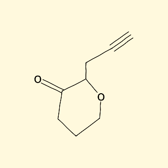 C#CCC1OCCCC1=O